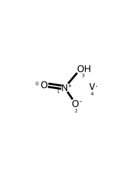 O=[N+]([O-])O.[V]